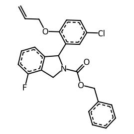 C=CCOc1ccc(Cl)cc1C1c2cccc(F)c2CN1C(=O)OCc1ccccc1